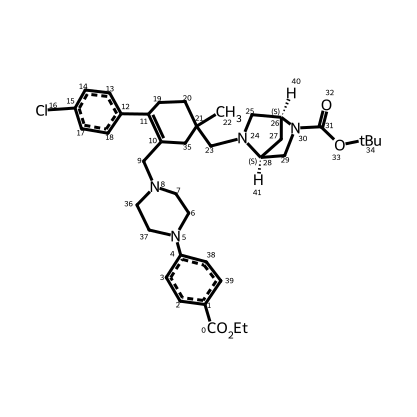 CCOC(=O)c1ccc(N2CCN(CC3=C(c4ccc(Cl)cc4)CCC(C)(CN4C[C@@H]5C[C@H]4CN5C(=O)OC(C)(C)C)C3)CC2)cc1